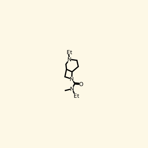 CCN1CCC2C(C1)CN2C(=O)N(C)CC